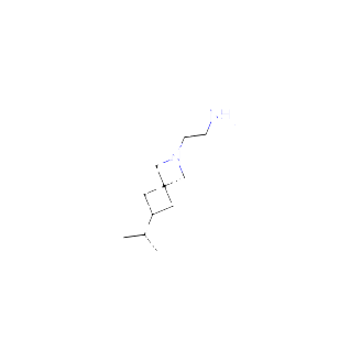 CC(C)C1CC2(C1)CN(CCN)C2